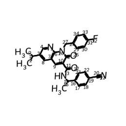 CC(C)c1cnc2c(c1)cc(C(=O)N[C@H](C)c1ccc(C#N)cc1)c(=O)n2Cc1ccc(F)cc1